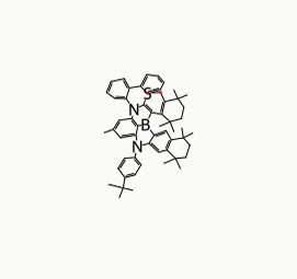 Cc1cc2c3c(c1)N(c1ccc(C(C)(C)C)cc1)c1cc4c(cc1B3C1=C(SCC3=C1C(C)(C)CCC3(C)C)N2c1ccccc1-c1ccccc1)C(C)(C)CCC4(C)C